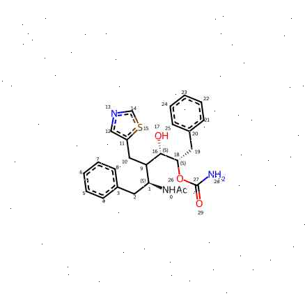 CC(=O)N[C@@H](Cc1ccccc1)C(Cc1cncs1)[C@H](O)[C@H](Cc1ccccc1)OC(N)=O